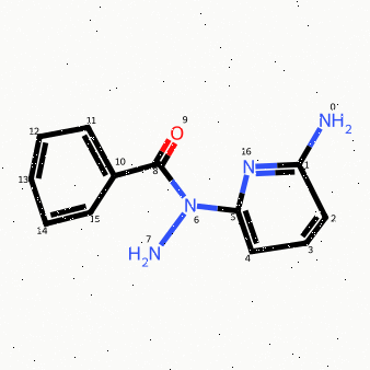 Nc1cccc(N(N)C(=O)c2ccccc2)n1